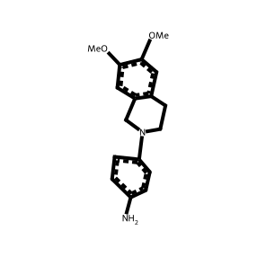 COc1cc2c(cc1OC)CN(c1ccc(N)cc1)CC2